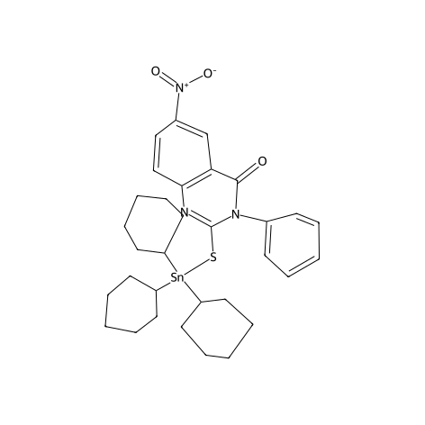 O=c1c2cc([N+](=O)[O-])ccc2nc([S][Sn]([CH]2CCCCC2)([CH]2CCCCC2)[CH]2CCCCC2)n1-c1ccccc1